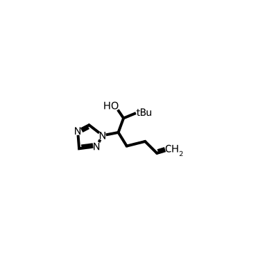 C=CCCC(C(O)C(C)(C)C)n1cncn1